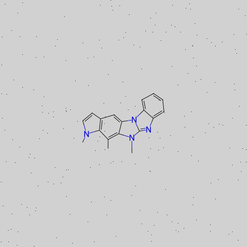 Cc1c2c(ccn2C)cc2c1n(C)c1nc3ccccc3n21